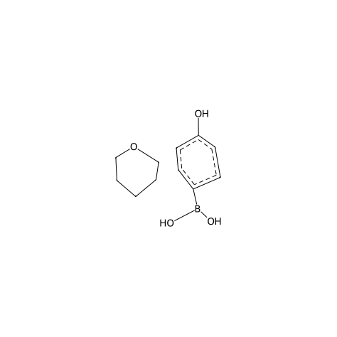 C1CCOCC1.OB(O)c1ccc(O)cc1